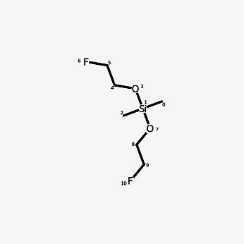 C[Si](C)(OCCF)OCCF